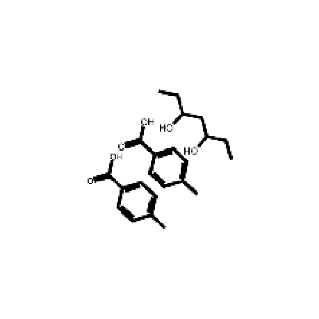 CCC(O)CC(O)CC.Cc1ccc(C(=O)O)cc1.Cc1ccc(C(=O)O)cc1